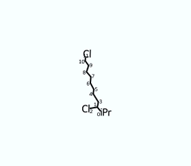 CC(C)C(Cl)CCCCCCCCCl